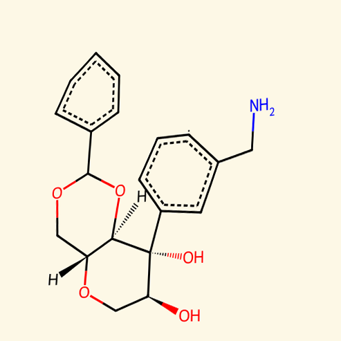 NCc1[c]ccc([C@]2(O)[C@@H]3OC(c4ccccc4)OC[C@H]3OC[C@@H]2O)c1